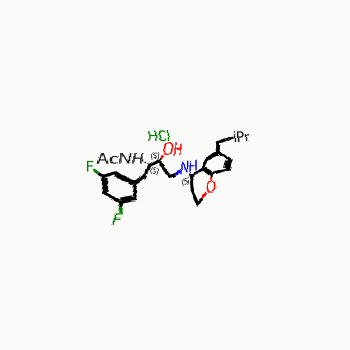 CC(=O)N[C@@H](Cc1cc(F)cc(F)c1)[C@@H](O)CN[C@H]1CCOc2ccc(CC(C)C)cc21.Cl